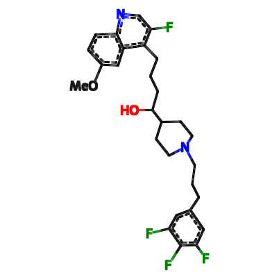 COc1ccc2ncc(F)c(CCCC(O)C3CCN(CCCc4cc(F)c(F)c(F)c4)CC3)c2c1